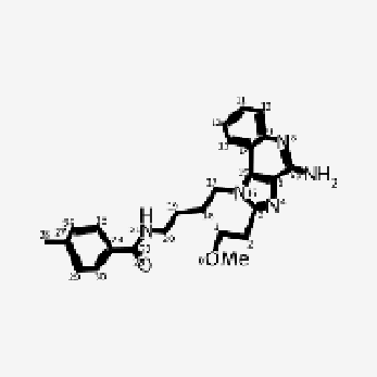 COCCc1nc2c(N)nc3ccccc3c2n1CCCCNC(=O)c1ccc(C)cc1